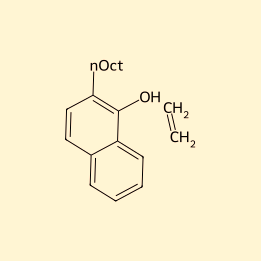 C=C.CCCCCCCCc1ccc2ccccc2c1O